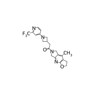 Cc1c2c(nc3c1CCO3)CN(C(=O)CC1CN(c3ccnc(C(F)(F)F)c3)C1)C2